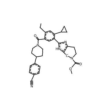 CCc1cc(C2CC2)c(-c2nc3c([nH]2)CN(C(=O)OC)CC3)cc1C(=O)N1CCC(c2ccc(C#N)cc2)CC1